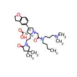 CCCCN(CCCN(C)C)C(=O)CN1C[C@H](c2ccc3c(c2)CCO3)[C@@H](C(=O)O)[C@@H]1CCN1CC(C)(C)CC1=O